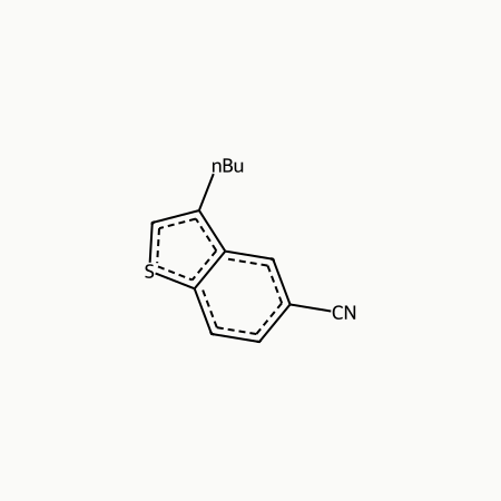 CCCCc1csc2ccc(C#N)cc12